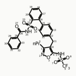 CCCc1noc(NS(=O)(=O)C(F)(F)F)c1Cc1ccc(-c2ccccc2S(=O)(=O)NC(=O)c2ccccc2)cc1